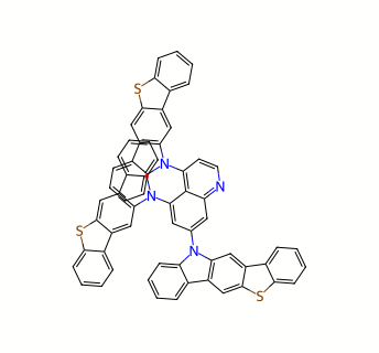 c1ccc2c(c1)sc1cc3c4ccccc4n(-c4cc(-n5c6ccccc6c6cc7sc8ccccc8c7cc65)c5c(-n6c7ccccc7c7cc8sc9ccccc9c8cc76)ccnc5c4)c3cc12